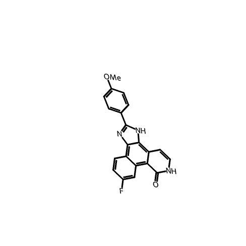 COc1ccc(-c2nc3c4ccc(F)cc4c4c(=O)[nH]ccc4c3[nH]2)cc1